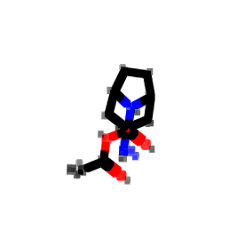 CC(=O)OC(=O)N1C2CCC1CC(N)C2